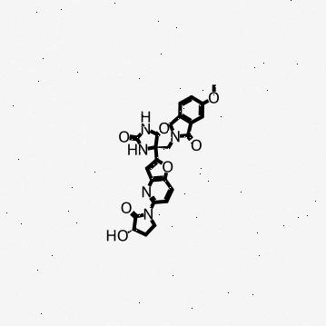 COc1ccc2c(c1)C(=O)N(C[C@@]1(c3cc4nc(N5CC[C@H](O)C5=O)ccc4o3)NC(=O)NC1=O)C2